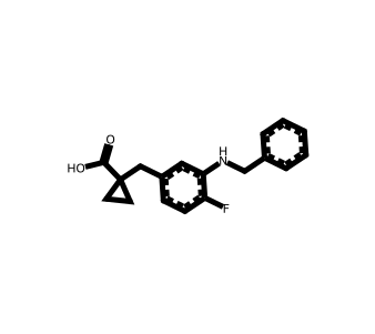 O=C(O)C1(Cc2ccc(F)c(NCc3ccccc3)c2)CC1